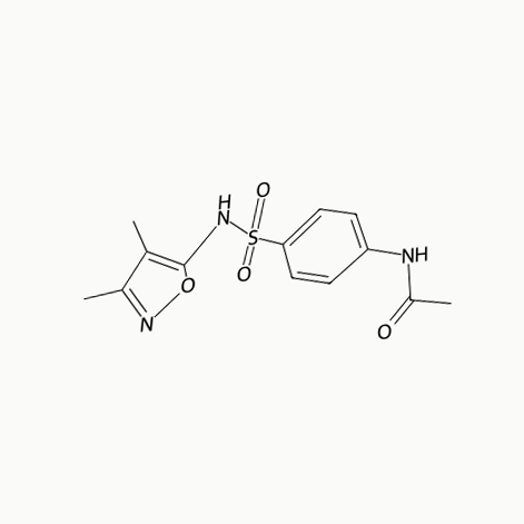 CC(=O)Nc1ccc(S(=O)(=O)Nc2onc(C)c2C)cc1